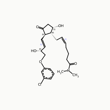 CN(C)C(=O)CCC/C=C\C[C@H]1[C@@H](O)CC(=O)[C@@H]1/C=C/[C@@H](O)COc1cccc(Cl)c1